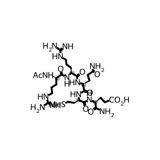 CSCC[C@@H](NC(=O)[C@H](CCC(N)=O)NC(=O)[C@H](CCCNC(=N)N)NC(=O)[C@H](CCCNC(=N)N)NC(C)=O)C(=O)N[C@@H](CCC(=O)O)C(N)=O